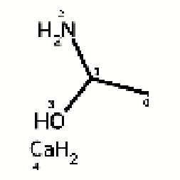 CC(N)O.[CaH2]